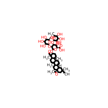 C#C[C@]1(C)CC[C@]2(C(C)=O)CCC3C(=CCC4[C@@]3(C)CCC3[C@]4(C)CC[C@H](O[C@@H]4O[C@H](C(=O)O)[C@@H](O)[C@H](O[C@@H]5O[C@@H](C)[C@H](O)[C@@H](O)[C@H]5O)[C@H]4O[C@@H]4O[C@H](CO)[C@H](O)[C@H](O)[C@H]4O)[C@@]3(C)C=O)[C@@H]2C1